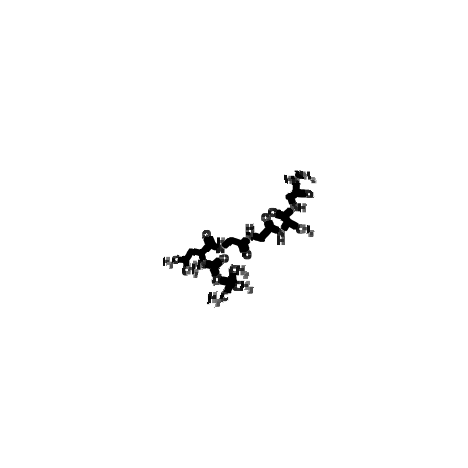 CC(C)CC(NC(=O)OC(C)(C)C)C(=O)NCC(=O)NCC(=O)NC(C)C(=O)NCC(=O)NN